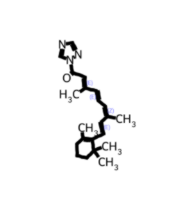 CC1=C(/C=C/C(C)=C\C=C\C(C)=C\C(=O)n2cncn2)C(C)(C)CCC1